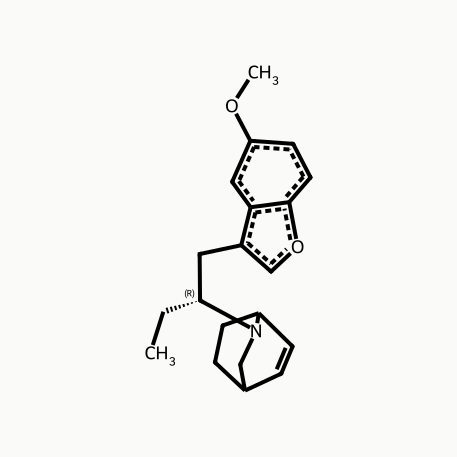 CC[C@H](Cc1coc2ccc(OC)cc12)N1CC2C=CC1CC2